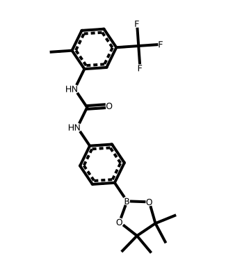 Cc1ccc(C(F)(F)F)cc1NC(=O)Nc1ccc(B2OC(C)(C)C(C)(C)O2)cc1